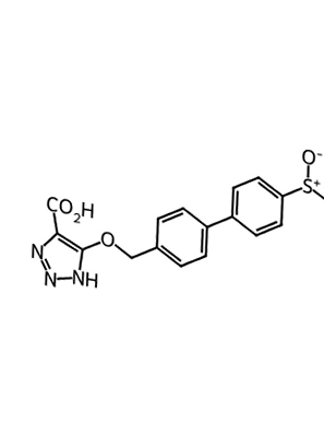 C[S+]([O-])c1ccc(-c2ccc(COc3[nH]nnc3C(=O)O)cc2)cc1